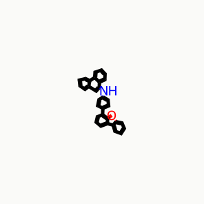 c1ccc2c(c1)cc(Nc1ccc(-c3cccc4c3oc3ccccc34)cc1)c1ccccc12